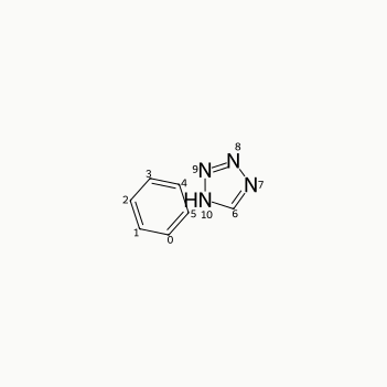 c1ccccc1.c1nnn[nH]1